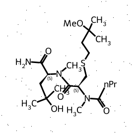 CCCC(=O)N(C)[C@H](CSCCC(C)(C)OC)C(=O)N(C)[C@@H](CC(C)(C)O)C(N)=O